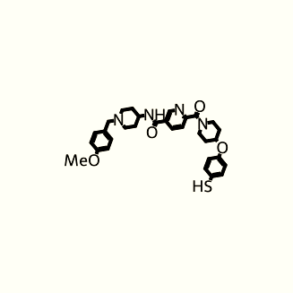 COc1ccc(CN2CCC(NC(=O)c3ccc(C(=O)N4CCC(Oc5ccc(S)cc5)CC4)nc3)CC2)cc1